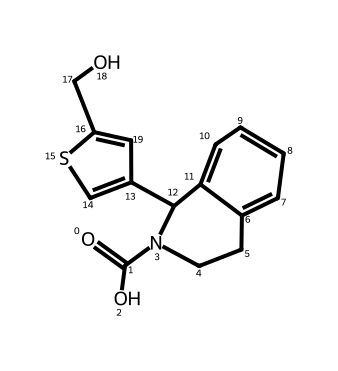 O=C(O)N1CCc2ccccc2C1c1csc(CO)c1